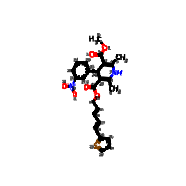 COC(=O)C1=C(C)NC(C)=C(C(=O)OCC=CC=Cc2cccs2)C1c1cccc([N+](=O)[O-])c1